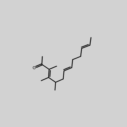 CC=CCCC=CCC(C)C(C)=C(C)C(C)=O